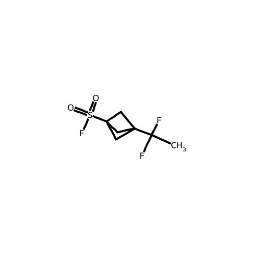 CC(F)(F)C12CC(S(=O)(=O)F)(C1)C2